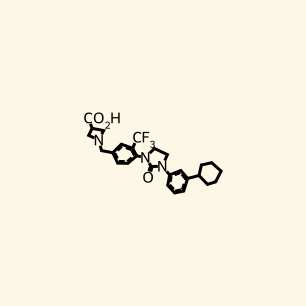 O=C(O)C1CN(Cc2ccc(N3CCN(c4cccc(C5CCCCC5)c4)C3=O)c(C(F)(F)F)c2)C1